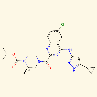 CC(C)OC(=O)N1CCN(C(=O)c2nc(Nc3cc(C4CC4)[nH]n3)c3cc(Cl)ccc3n2)C[C@H]1C